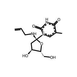 C=CCN[C@]1(n2cc(C)c(=O)[nH]c2=O)C[C@H](O)[C@@H](CO)O1